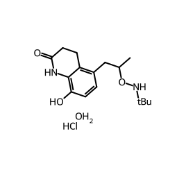 CC(Cc1ccc(O)c2c1CCC(=O)N2)ONC(C)(C)C.Cl.O